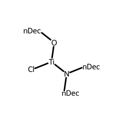 CCCCCCCCCC[O][Ti]([Cl])[N](CCCCCCCCCC)CCCCCCCCCC